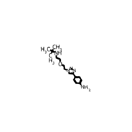 CC(C)(C)NCCOCCn1cc(-c2ccc(N)cc2)nn1